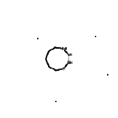 C1CCONNPCC1